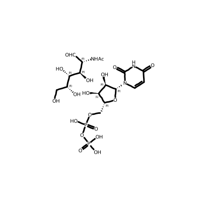 CC(=O)N[C@@H](C=O)[C@@H](O)[C@@H](O)[C@H](O)CO.O=c1ccn([C@@H]2O[C@H](COP(=O)(O)OP(=O)(O)O)[C@@H](O)[C@H]2O)c(=O)[nH]1